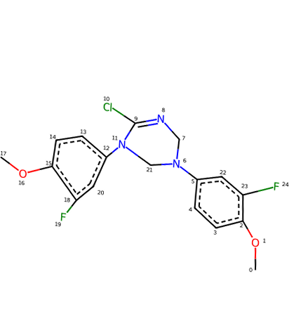 COc1ccc(N2CN=C(Cl)N(c3ccc(OC)c(F)c3)C2)cc1F